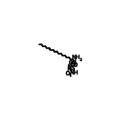 CCCCC/C=C/C/C=C/CCCCCCC/C(N)=N\S(=O)(=O)c1nnc(NC(C)=O)s1